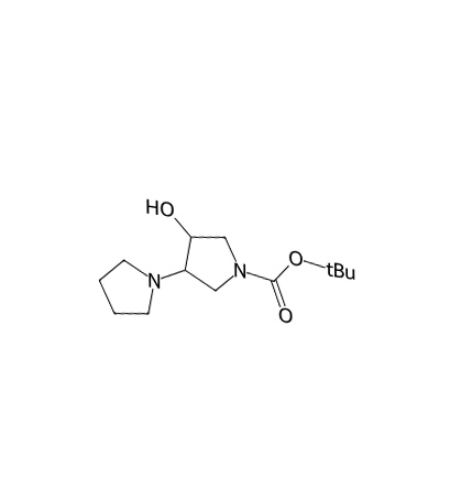 CC(C)(C)OC(=O)N1CC(O)C(N2CCCC2)C1